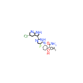 CC(C(N)=O)[C@@]1(O)CCC[C@H](Nc2nc(-c3c[nH]c4ncc(Cl)cc34)ncc2F)C1